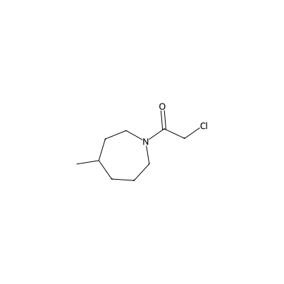 CC1CCCN(C(=O)CCl)CC1